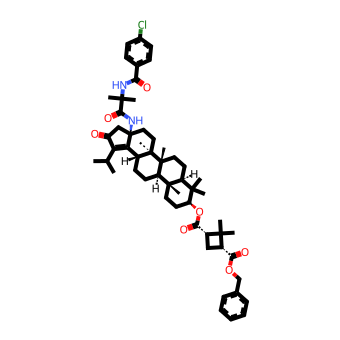 CC(C)C1=C2[C@H]3CC[C@@H]4[C@@]5(C)CC[C@H](OC(=O)[C@H]6C[C@@H](C(=O)OCc7ccccc7)C6(C)C)C(C)(C)[C@@H]5CC[C@@]4(C)[C@]3(C)CC[C@@]2(NC(=O)C(C)(C)NC(=O)c2ccc(Cl)cc2)CC1=O